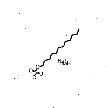 CCCCCCCCCCCCOS(=O)(=O)[O-].[Na+].[NaH]